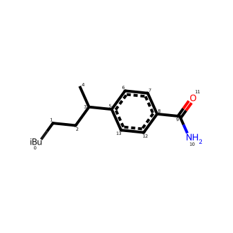 CCC(C)CCC(C)c1ccc(C(N)=O)cc1